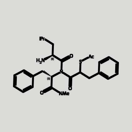 CNC(=O)[C@H](Cc1ccccc1)N(C(=O)C(Cc1ccccc1)SC(C)=O)C(=O)[C@@H](N)CC(C)C